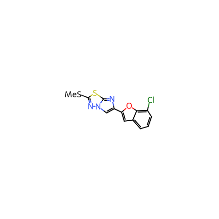 CSc1nn2cc(-c3cc4cccc(Cl)c4o3)nc2s1